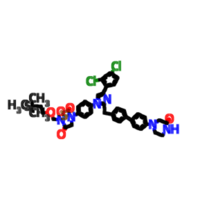 C[Si](C)(C)CCOCN1C(=O)CN(c2ccc(-n3cc(-c4ccc(Cl)cc4Cl)nc3Cc3ccc(-c4ccc(N5CCNC(=O)C5)cc4)cc3)cc2)S1(=O)=O